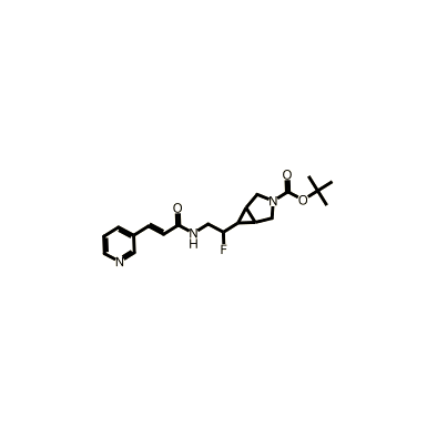 CC(C)(C)OC(=O)N1CC2C(C1)C2C(F)CNC(=O)/C=C/c1cccnc1